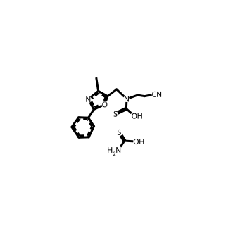 Cc1nc(-c2ccccc2)oc1CN(CCC#N)C(O)=S.NC(O)=S